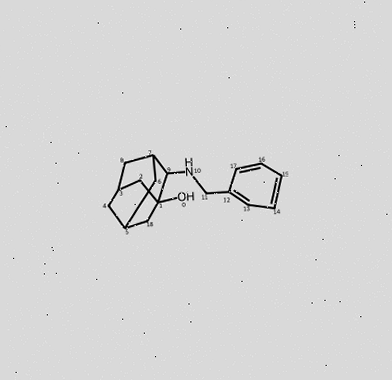 OC12CC3CC(CC(C3)C1NCc1ccccc1)C2